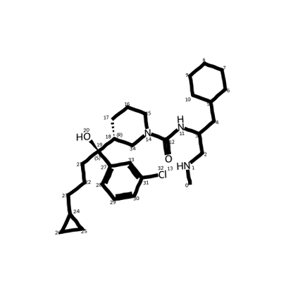 CNCC(CC1CCCCC1)NC(=O)N1CCC[C@@H]([C@@](O)(CCCC2CC2)c2cccc(Cl)c2)C1